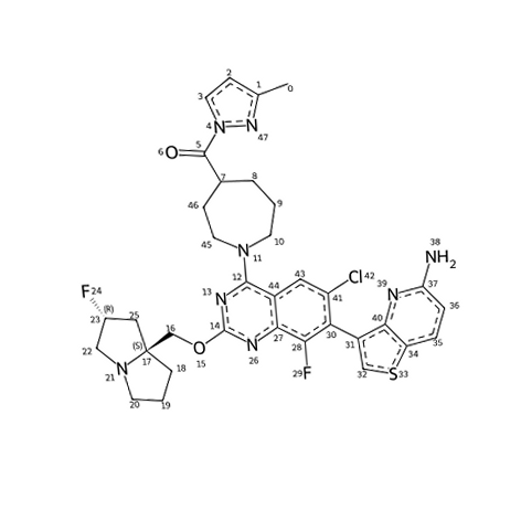 Cc1ccn(C(=O)C2CCCN(c3nc(OC[C@@]45CCCN4C[C@H](F)C5)nc4c(F)c(-c5csc6ccc(N)nc56)c(Cl)cc34)CC2)n1